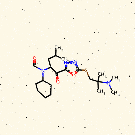 CC(C)CC(C(=O)c1nnc(SCC(C)(C)N(C)C)o1)N(C=O)C1CCCCC1